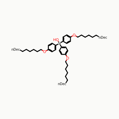 CCCCCCCCCCCCCCCCOc1ccc([Si](O)(c2ccc(OCCCCCCCCCCCCCCCC)cc2)c2ccc(OCCCCCCCCCCCCCCCC)cc2)cc1